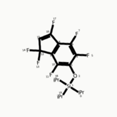 CC(C)[Si](Oc1c(F)c(F)c2c(c1F)C(F)(F)[C]=C2F)(C(C)C)C(C)C